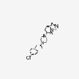 C=C(Cc1ccc(Cl)cc1)N1CCN(c2ccc3nncn3n2)CC1